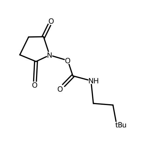 CC(C)(C)CCNC(=O)ON1C(=O)CCC1=O